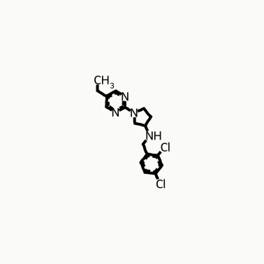 CCc1cnc(N2CCC(NCc3ccc(Cl)cc3Cl)C2)nc1